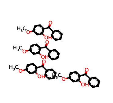 COc1ccc(C(=O)c2ccccc2)c(O)c1.COc1ccc(C(=O)c2ccccc2)c(O)c1.COc1ccc(C(=O)c2ccccc2)c(O)c1.COc1ccc(C(=O)c2ccccc2)c(O)c1